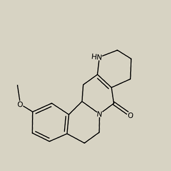 COc1ccc2c(c1)C1CC3=C(CCCN3)C(=O)N1CC2